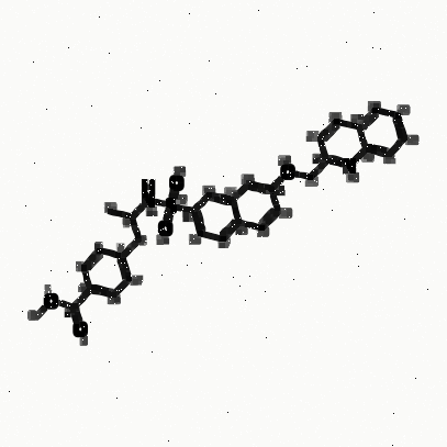 COC(=O)c1ccc(CC(C)NS(=O)(=O)c2ccc3ccc(OCc4ccc5ccccc5n4)cc3c2)cc1